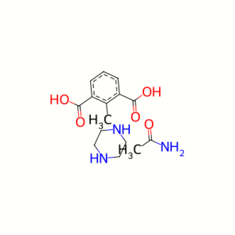 C1CNCCN1.CC(N)=O.Cc1c(C(=O)O)cccc1C(=O)O